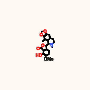 COc1ccc2c(c1O)C(=O)O[C@@H]2[C@H]1c2c(cc3c(c2C)OCO3)CCN1C